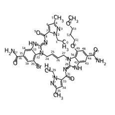 CCn1nc(C)cc1C(=O)/N=c1\[nH]c2cc(C(N)=O)cc(Br)c2n1C/C=C/Cn1/c(=N/C(=O)c2cc(C)nn2CC)[nH]c2cc(C(N)=O)cc(OCCCOC)c21